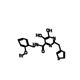 CCOc1ccccc1CNC(=O)c1nc(Cc2ccsc2)nc(O)c1O